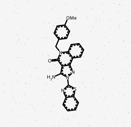 COc1ccc(Cn2c(=O)c3c(N)n(-c4nc5ccccc5s4)nc3c3ccccc32)cc1